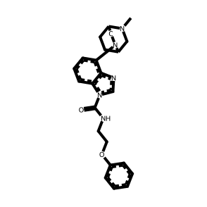 CN1CC2CCC1CN2c1cccc2c1ncn2C(=O)NCCOc1ccccc1